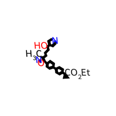 CCOC(=O)C1(c2ccc(-c3ccc(-c4onc(C)c4CCCC(O)c4ccncc4)cc3)cc2)CC1